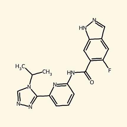 CC(C)n1cnnc1-c1cccc(NC(=O)c2cc3[nH]ncc3cc2F)n1